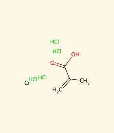 C=C(C)C(=O)O.Cl.Cl.Cl.Cl.[Cr]